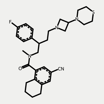 CN(CC(CCN1CC(N2CCSCC2)C1)c1ccc(F)cc1)C(=O)c1cc(C#N)cc2c1CCCC2